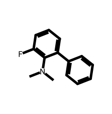 CN(C)c1c(F)cccc1-c1ccccc1